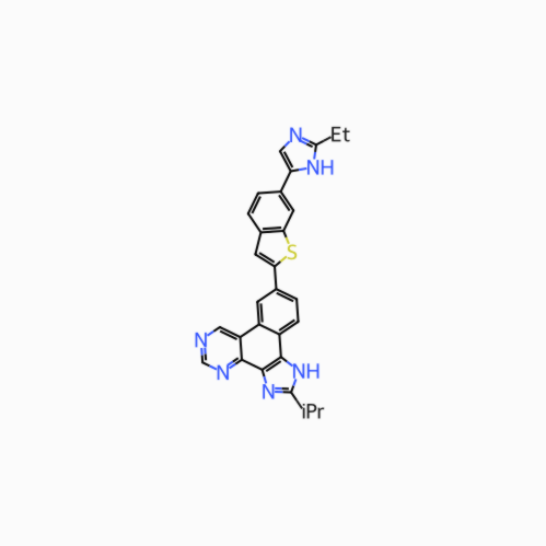 CCc1ncc(-c2ccc3cc(-c4ccc5c(c4)c4cncnc4c4nc(C(C)C)[nH]c54)sc3c2)[nH]1